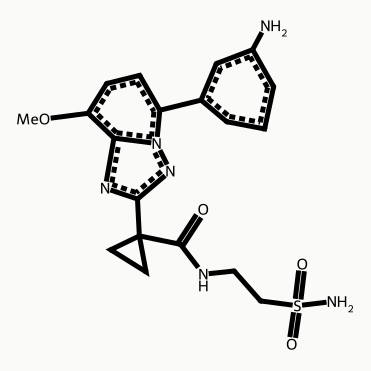 COc1ccc(-c2cccc(N)c2)n2nc(C3(C(=O)NCCS(N)(=O)=O)CC3)nc12